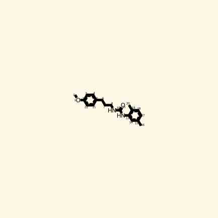 COc1ccc(CCCNC(=O)Nc2cc(C)ccc2C)cc1